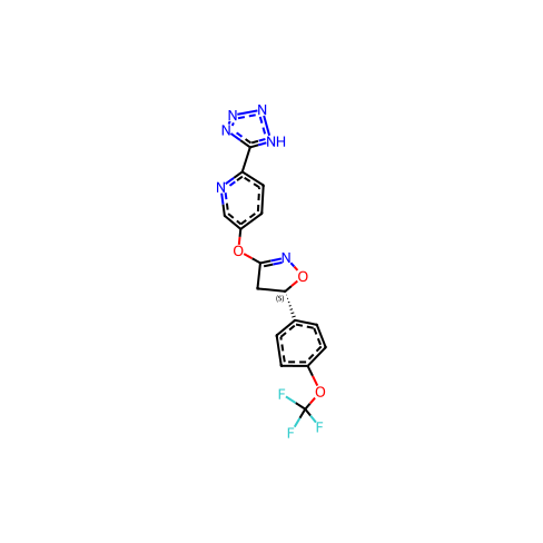 FC(F)(F)Oc1ccc([C@@H]2CC(Oc3ccc(-c4nnn[nH]4)nc3)=NO2)cc1